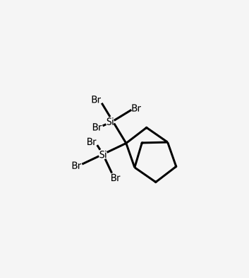 Br[Si](Br)(Br)C1([Si](Br)(Br)Br)CC2CCC1C2